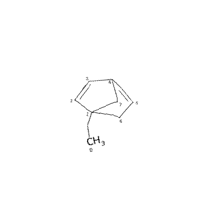 CC12C=CC(=CC1)C2